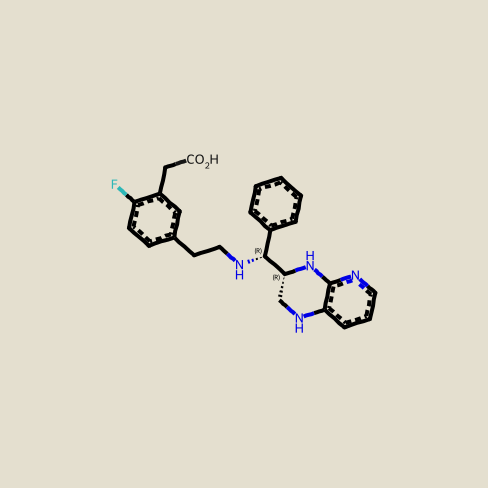 O=C(O)Cc1cc(CCN[C@H](c2ccccc2)[C@H]2CNc3cccnc3N2)ccc1F